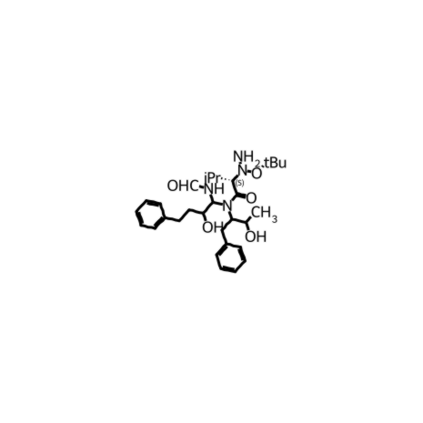 CC(O)C(Cc1ccccc1)N(C(=O)[C@H](C(C)C)N(N)OC(C)(C)C)C(NC=O)C(O)CCc1ccccc1